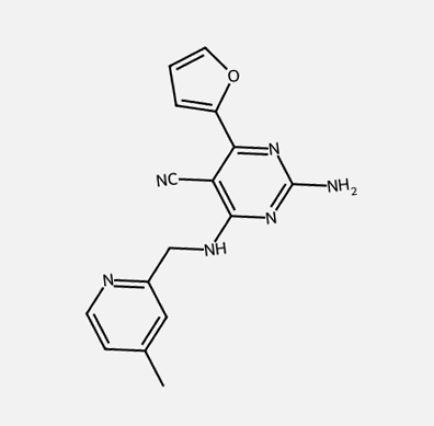 Cc1ccnc(CNc2nc(N)nc(-c3ccco3)c2C#N)c1